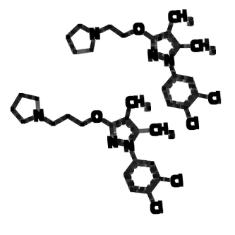 Cc1c(OCCCN2CCCC2)nn(-c2ccc(Cl)c(Cl)c2)c1C.Cc1c(OCCN2CCCC2)nn(-c2ccc(Cl)c(Cl)c2)c1C